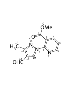 COC(=O)c1cccnc1-n1cc(C=O)c(C)n1